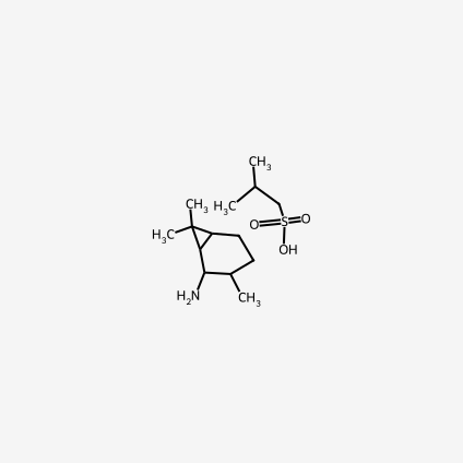 CC(C)CS(=O)(=O)O.CC1CCC2C(C1N)C2(C)C